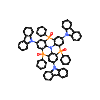 O=P1(c2ccccc2)c2cc(-n3c4ccccc4c4ccccc43)cc3c2N2c4c1cc(-n1c5ccccc5c5ccccc51)cc4P(=O)(c1ccccc1)c1cc(-n4c5ccccc5c5ccccc54)cc(c12)P3(=O)c1ccccc1